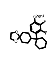 CCCCCc1ccc(C2(C3CCC4(CC3)OCCO4)CCCCC2)c(F)c1F